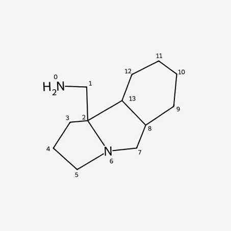 NCC12CCCN1CC1CCCCC12